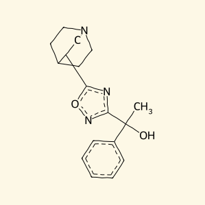 CC(O)(c1ccccc1)c1noc(C2CN3CCC2CC3)n1